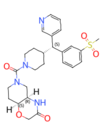 CS(=O)(=O)c1cccc([C@@H](c2cccnc2)C2CCN(C(=O)N3CC[C@@H]4OCC(=O)N[C@@H]4C3)CC2)c1